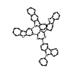 c1ccc(-n2c3ccccc3c3cc(-c4nc(-c5ccc6c(c5)sc5ccccc56)nc(-c5cc6oc7ccccc7c6cc5-n5c6ccccc6c6cc7ccccc7cc65)n4)ccc32)cc1